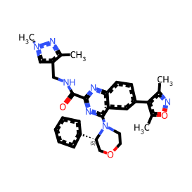 Cc1nn(C)cc1CNC(=O)c1nc(N2CCOC[C@@H]2c2ccccc2)c2cc(-c3c(C)noc3C)ccc2n1